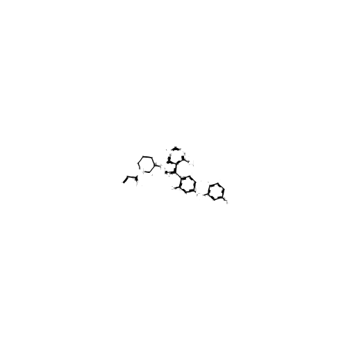 C=CC(=O)N1CCCC(n2nc(-c3ccc(Oc4cccc(F)c4)cc3F)c3c(N)ncnc32)C1